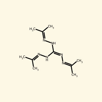 CC(C)=NN=C(NN=C(C)C)NN=C(C)C